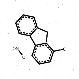 Clc1cccc2c1Cc1ccccc1-2.O=NO